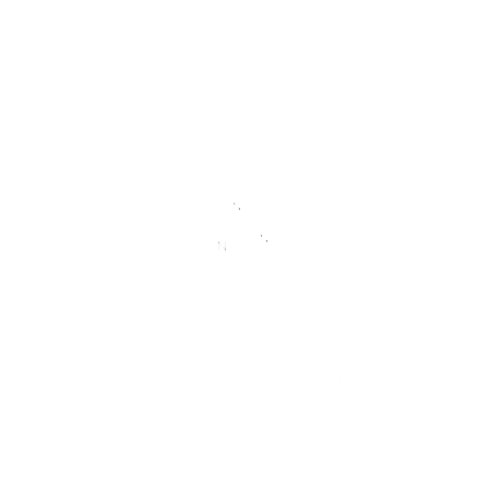 c1ccc(-c2ccc(-c3nc(-c4cccc(-c5cccc(-c6ccccc6)c5)c4)nc(-c4cccc(-c5ccc6c(c5)sc5ccccc56)c4)n3)cc2)cc1